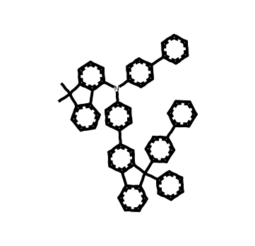 CC1(C)c2ccccc2-c2c(N(c3ccc(-c4ccccc4)cc3)c3ccc(-c4ccc5c(c4)C(c4ccccc4)(c4ccc(-c6ccccc6)cc4)c4ccccc4-5)cc3)cccc21